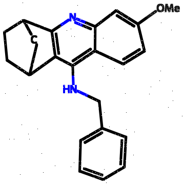 COc1ccc2c(NCc3ccccc3)c3c(nc2c1)C1CCC3CC1